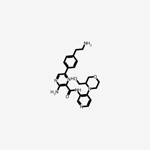 NCCc1ccc(-c2cnc(N)c(C(=O)Nc3cnccc3N3CCOCC3CO)n2)cc1